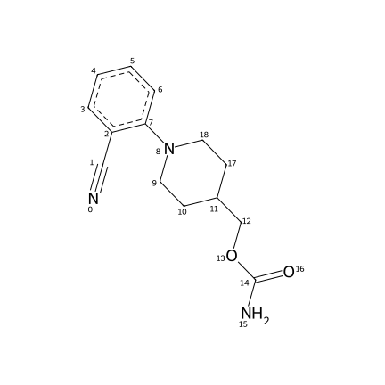 N#Cc1ccccc1N1CCC(COC(N)=O)CC1